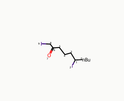 CCCCC(I)CCCC(=O)CI